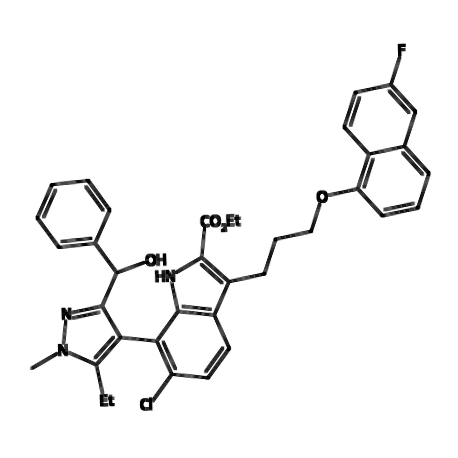 CCOC(=O)c1[nH]c2c(-c3c(C(O)c4ccccc4)nn(C)c3CC)c(Cl)ccc2c1CCCOc1cccc2cc(F)ccc12